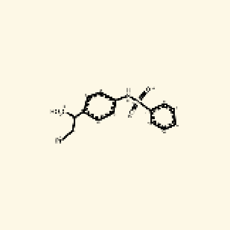 CC(C)CC(C(=O)O)c1ccc(NS(=O)(=O)c2ccccc2)cc1